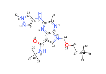 Cc1nc2c(nc1Nc1cnn(C)c1)c(C(=O)NC(C)(C)C)cn2COCC[Si](C)(C)C